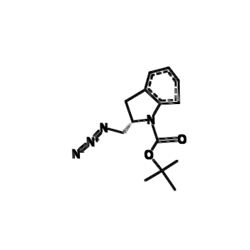 CC(C)(C)OC(=O)N1c2ccccc2C[C@H]1CN=[N+]=[N-]